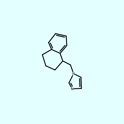 c1ccc2c(c1)CCCC2Cn1ccnc1